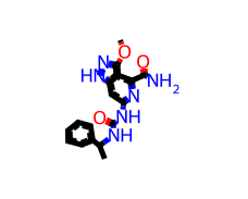 COc1n[nH]c2cc(NC(=O)NC(C)c3ccccc3)nc(C(N)=O)c12